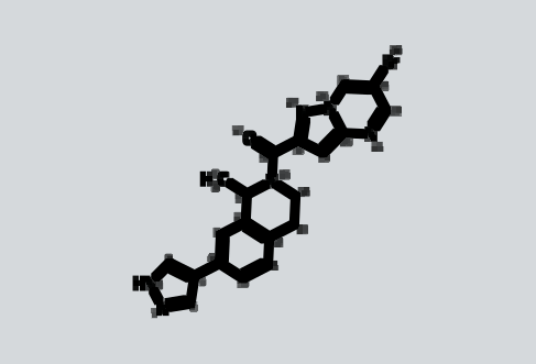 CC1c2cc(-c3cn[nH]c3)ccc2CCN1C(=O)c1cc2ncc(Br)cn2n1